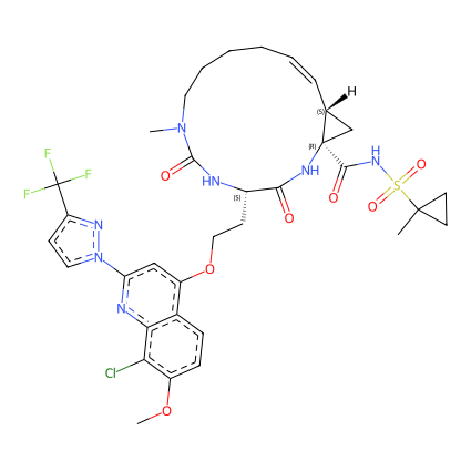 COc1ccc2c(OCC[C@@H]3NC(=O)N(C)CCCCC=C[C@@H]4C[C@@]4(C(=O)NS(=O)(=O)C4(C)CC4)NC3=O)cc(-n3ccc(C(F)(F)F)n3)nc2c1Cl